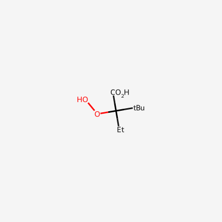 CCC(OO)(C(=O)O)C(C)(C)C